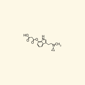 CN(CCc1c[nH]c2c(OC(=O)CC(=O)O)cccc12)C1CC1